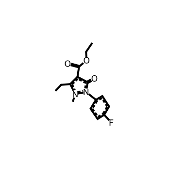 CCOC(=O)c1c(CC)n(C)n(-c2ccc(F)cc2)c1=O